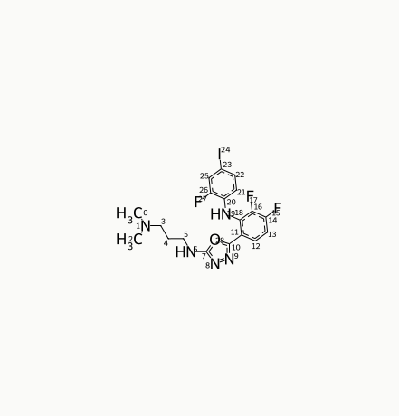 CN(C)CCCNc1nnc(-c2ccc(F)c(F)c2Nc2ccc(I)cc2F)o1